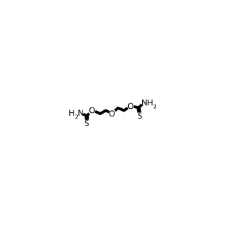 NC(=S)OCCOCCOC(N)=S